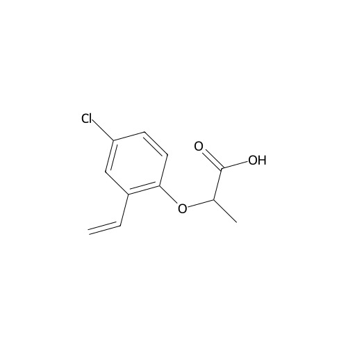 C=Cc1cc(Cl)ccc1OC(C)C(=O)O